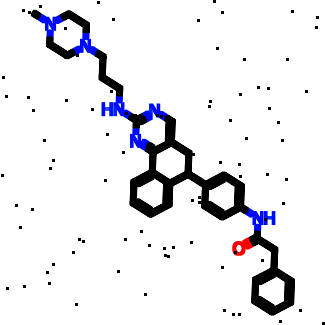 CN1CCN(CCCNc2ncc3c(n2)-c2ccccc2C(c2ccc(NC(=O)Cc4ccccc4)cc2)C3)CC1